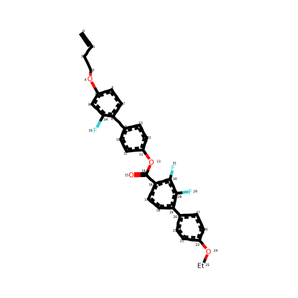 C=CCCOc1ccc(-c2ccc(OC(=O)c3ccc(-c4ccc(OCC)cc4)c(F)c3F)cc2)c(F)c1